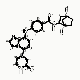 O=C(NC1C[C@H]2CC[C@@H]1C2)c1ccc(Nc2ccc(-c3cc[nH]c(=O)c3)n3ccnc23)cc1